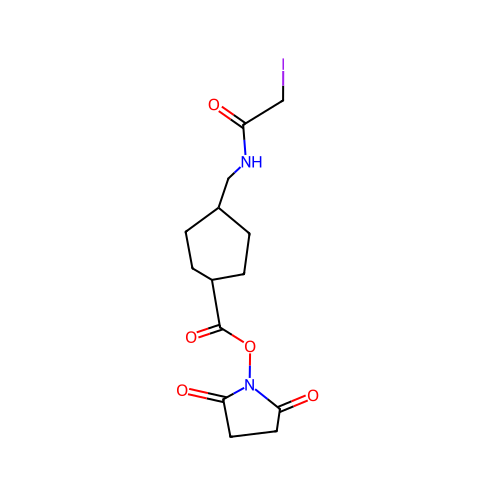 O=C(CI)NCC1CCC(C(=O)ON2C(=O)CCC2=O)CC1